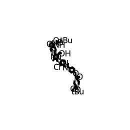 Cc1nc(N2CCC3(CC2)CO[C@@H](C)[C@H]3NC(=O)OC(C)(C)C)c(CO)nc1Sc1ccn2cc(-c3ccc(OCC(=O)N4CCN(C(=O)OC(C)(C)C)CC4)cc3)nc2c1Cl